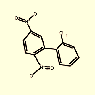 Cc1ccccc1-c1cc([N+](=O)[O-])ccc1[N+](=O)[O-]